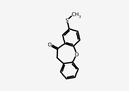 CSc1ccc2c(c1)C(=O)Cc1ccccc1O2